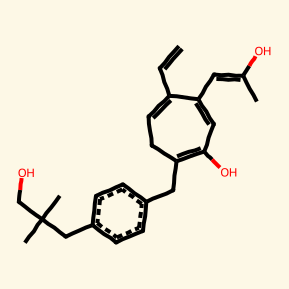 C=CC1=CCC(Cc2ccc(CC(C)(C)CO)cc2)=C(O)C=C1/C=C(\C)O